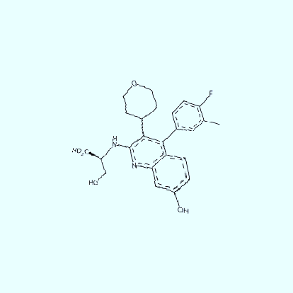 Cc1cc(-c2c(C3CCOCC3)c(N[C@@H](CO)C(=O)O)nc3cc(O)ccc23)ccc1F